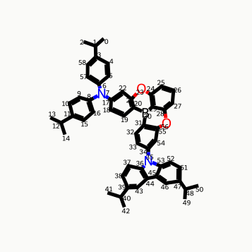 CC(C)c1ccc(N(c2ccc(C(C)C)cc2)c2ccc3c(c2)Oc2cccc4c2B3c2ccc(-n3c5ccc(C(C)C)cc5c5cc(C(C)C)ccc53)cc2O4)cc1